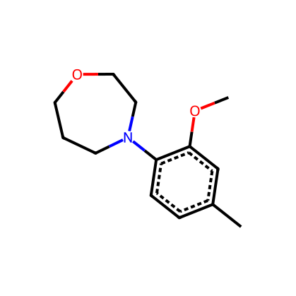 COc1cc(C)ccc1N1CCCOCC1